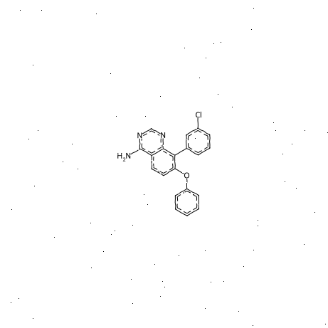 Nc1ncnc2c(-c3cccc(Cl)c3)c(Oc3ccccc3)ccc12